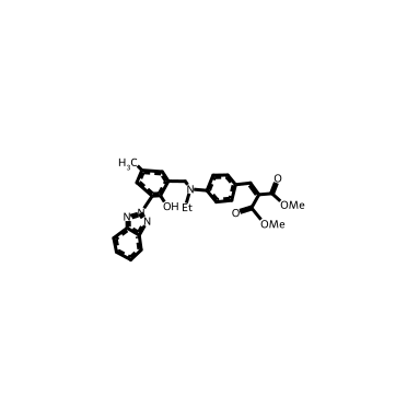 CCN(Cc1cc(C)cc(-n2nc3ccccc3n2)c1O)c1ccc(C=C(C(=O)OC)C(=O)OC)cc1